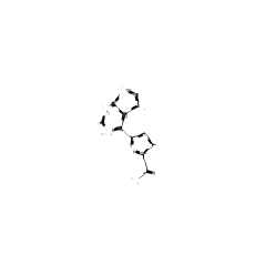 NC(=O)c1ccc(-c2ncnc3[nH]ccc23)o1